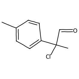 Cc1ccc(C(C)(Cl)C=O)cc1